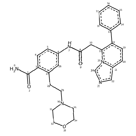 NC(=O)c1ccc(NC(=O)Cc2c(-c3ccccc3)ccc3cncn23)cc1CCN1CCOCC1